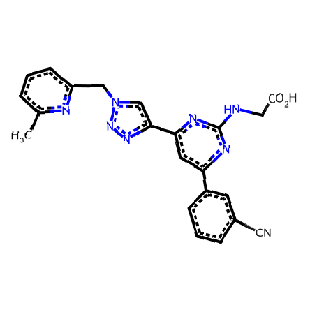 Cc1cccc(Cn2cc(-c3cc(-c4cccc(C#N)c4)nc(NCC(=O)O)n3)nn2)n1